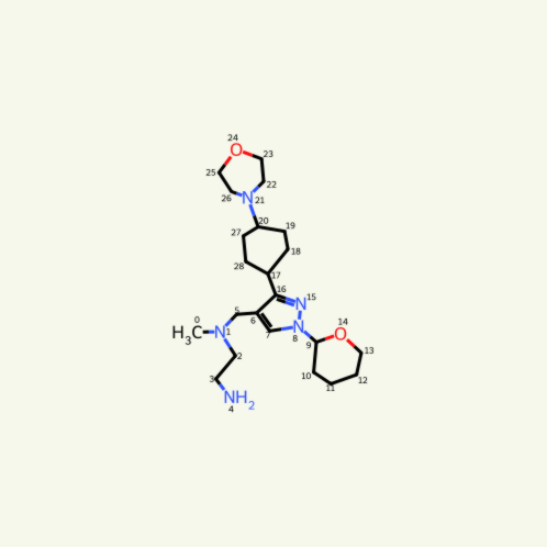 CN(CCN)Cc1cn(C2CCCCO2)nc1C1CCC(N2CCOCC2)CC1